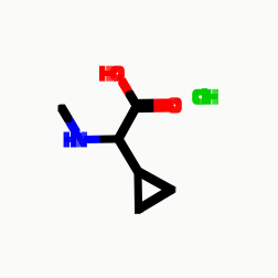 CNC(C(=O)O)C1CC1.Cl